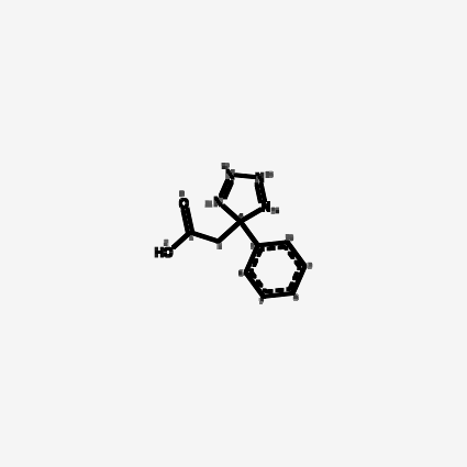 O=C(O)CC1(c2ccccc2)N=NN=N1